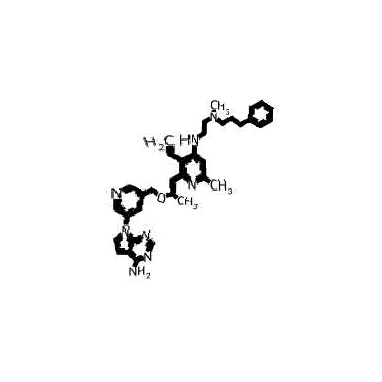 C=Cc1c(NCCN(C)CCCc2ccccc2)cc(C)nc1/C=C(\C)OCc1cncc(-n2ccc3c(N)ncnc32)c1